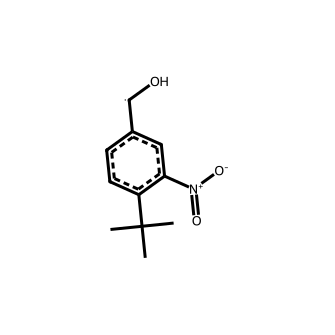 CC(C)(C)c1ccc([CH]O)cc1[N+](=O)[O-]